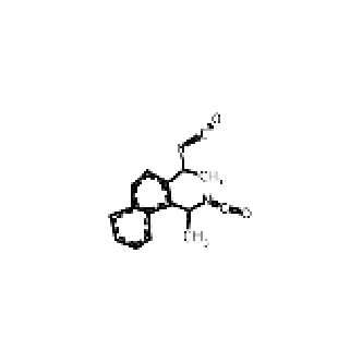 CC(N=C=O)c1ccc2ccccc2c1C(C)N=C=O